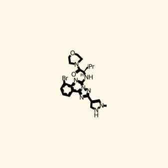 CC(C)[C@@H](Nc1nc2c(Br)cccc2c2nc(C3=CN(C)NC3)nn12)C(=O)N1CCOCC1